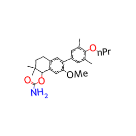 CCCOc1c(C)cc(-c2cc3c(cc2OC)C(OC(N)=O)C(C)(C)CC3)cc1C